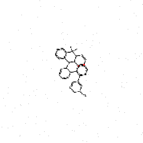 CC1(C)c2ccccc2N(C2C=CC=CC2c2ccccc2C2=CC(C#N)CN=C2)C2C=CC=CC21